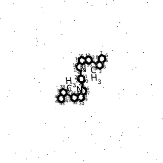 Cc1ccc2ccccc2c1-c1ccc2ccc3ccc(-c4ccc(-c5ccc6ccc7ccc(-c8c(C)ccc9ccccc89)cc7c6n5)cc4)nc3c2c1